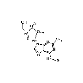 CC(C)Nc1nc(C(F)(F)F)nc2c1ncn2[C@@H]1O[C@H](CO)[C@@H](O)[C@@H]1F